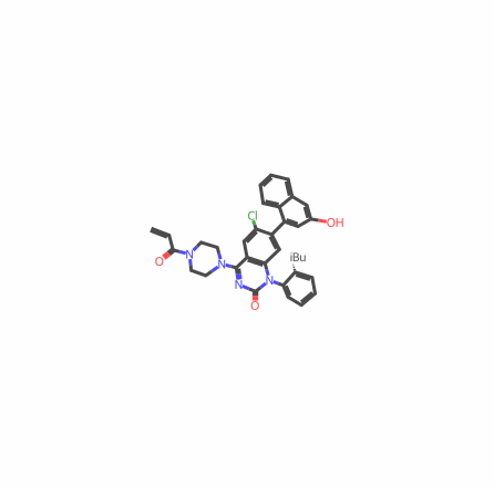 C=CC(=O)N1CCN(c2nc(=O)n(-c3ccccc3[C@@H](C)CC)c3cc(-c4cc(O)cc5ccccc45)c(Cl)cc23)CC1